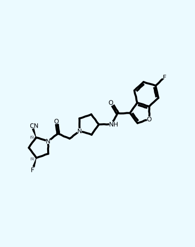 N#C[C@@H]1C[C@H](F)CN1C(=O)CN1CCC(NC(=O)c2coc3cc(F)ccc23)C1